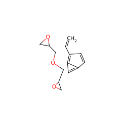 C(OCC1CO1)C1CO1.C=Cc1ccc2cc1-2